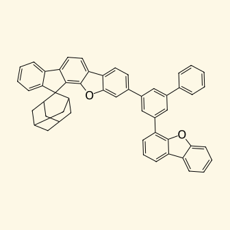 c1ccc(-c2cc(-c3ccc4c(c3)oc3c5c(ccc34)-c3ccccc3C53C4CC5CC(C4)CC3C5)cc(-c3cccc4c3oc3ccccc34)c2)cc1